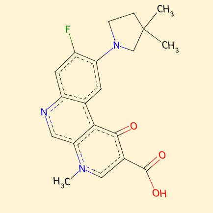 Cn1cc(C(=O)O)c(=O)c2c3cc(N4CCC(C)(C)C4)c(F)cc3ncc21